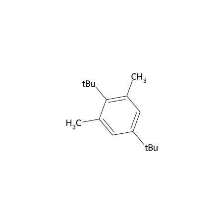 Cc1cc(C(C)(C)C)cc(C)c1C(C)(C)C